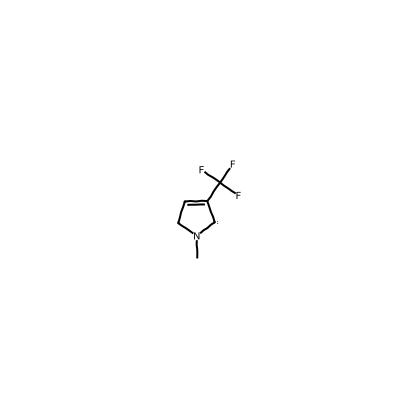 CN1[C]C(C(F)(F)F)=CC1